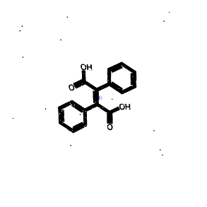 O=C(O)/C(=C(/C(=O)O)c1ccccc1)c1ccccc1